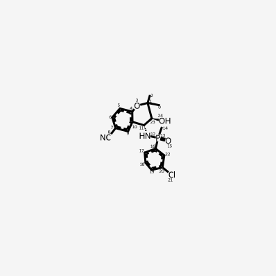 CC1(C)Oc2ccc(C#N)cc2[C@@H](NP(C)(=O)c2cccc(Cl)c2)[C@@H]1O